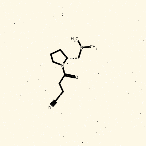 CN(C)C[C@H]1CCCN1C(=O)CCC#N